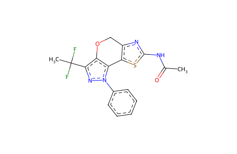 CC(=O)Nc1nc2c(s1)-c1c(c(C(C)(F)F)nn1-c1ccccc1)OC2